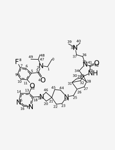 CCN(C(=O)c1cc(F)ccc1Oc1cncnc1N1CC2(CCN(CC3CC4CCC3CC43CN(CCN(C)C)C(=O)N3)CC2)C1)C(C)C